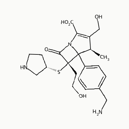 C[C@@H]1C(CO)=C(C(=O)O)N2C(=O)[C@@](CCO)(S[C@H]3CCNC3)C12c1ccc(CN)cc1